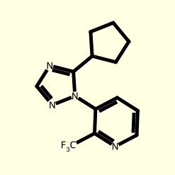 FC(F)(F)c1ncccc1-n1ncnc1C1CCCC1